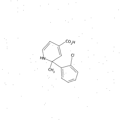 CC1(c2ccccc2Cl)C=C(C(=O)O)C=CN1